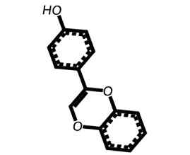 Oc1ccc(C2=COc3ccccc3O2)cc1